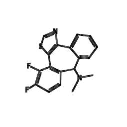 CN(C)C1c2ccccc2-c2ncsc2-c2c1ccc(F)c2F